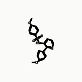 COc1ccc(-c2ncccc2NS(=O)(=O)c2ccc(OC)cc2)cc1